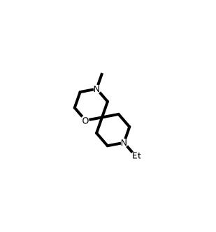 CCN1CCC2(CC1)CN(C)CCO2